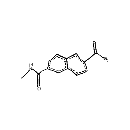 CNC(=O)c1ccc2cc(C(N)=O)ccc2c1